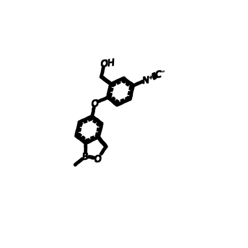 [C-]#[N+]c1ccc(Oc2ccc3c(c2)COB3C)c(CO)c1